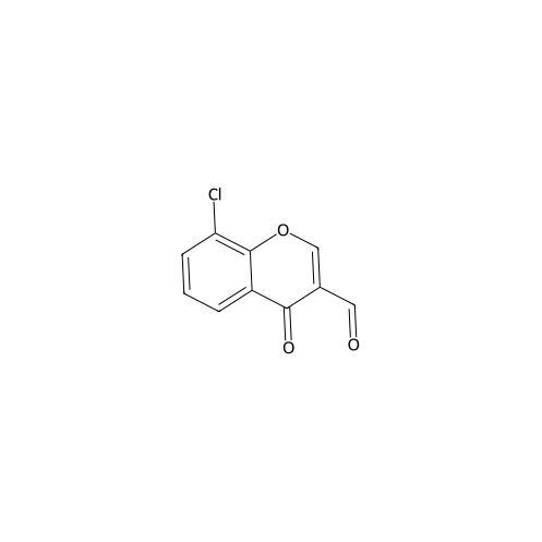 O=Cc1coc2c(Cl)cccc2c1=O